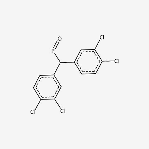 O=PC(c1ccc(Cl)c(Cl)c1)c1ccc(Cl)c(Cl)c1